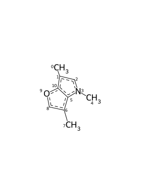 Cc1cn(C)c2c(C)coc12